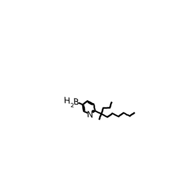 Bc1ccc(C(C)(CCC)CCCCCC)nc1